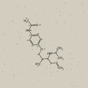 C=CCC(NC(C)C)C(C)COc1ccc(NC(C)=O)cc1